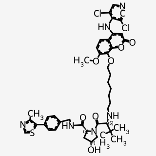 COc1ccc2c(Nc3c(Cl)cncc3Cl)cc(=O)oc2c1OCCCCCCCN[C@H](C(=O)N1C[C@H](O)C[C@H]1C(=O)NCc1ccc(-c2scnc2C)cc1)C(C)(C)C